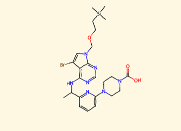 CC(Nc1ncnc2c1c(Br)cn2COCC[Si](C)(C)C)c1cccc(N2CCN(C(=O)O)CC2)n1